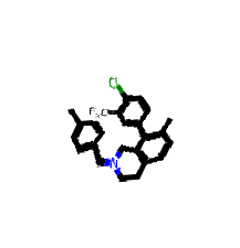 Cc1ccc(CN2CCc3ccc(C)c(-c4ccc(Cl)c(C(F)(F)F)c4)c3C2)cc1